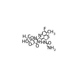 CC[C@]1(O)c2cc3n(c(=O)c2COC1O)Cc1c-3nc2cc(F)c(C)c3c2c1[C@H](NC(=O)CN)CS3